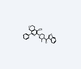 CC1CN(c2nc(-c3ccccc3)c3c(c2C#N)CCOC3)CCN1C(=O)c1csc2ccccc12